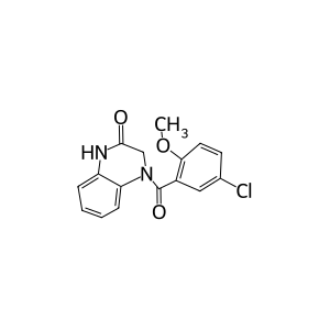 COc1ccc(Cl)cc1C(=O)N1CC(=O)Nc2ccccc21